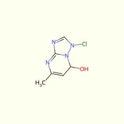 CC1=CC(O)N2C(=N1)N=CN2Cl